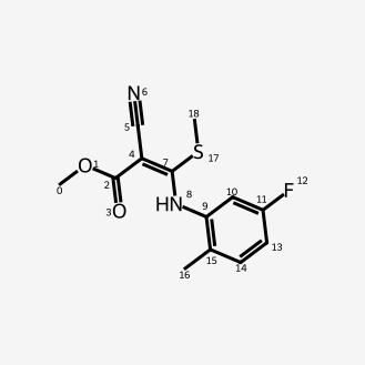 COC(=O)C(C#N)=C(Nc1cc(F)ccc1C)SC